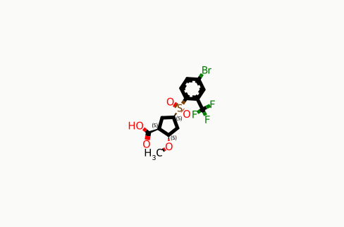 CO[C@H]1C[C@@H](S(=O)(=O)c2ccc(Br)cc2C(F)(F)F)C[C@@H]1C(=O)O